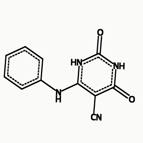 N#Cc1c(Nc2ccccc2)[nH]c(=O)[nH]c1=O